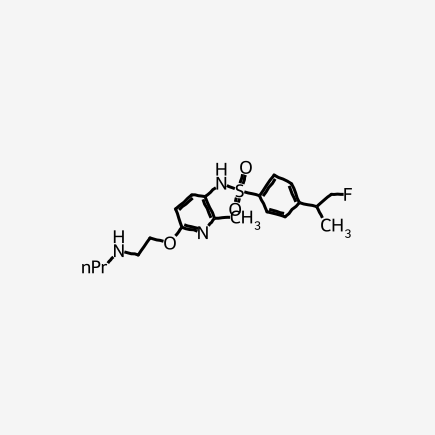 CCCNCCOc1ccc(NS(=O)(=O)c2ccc(C(C)CF)cc2)c(C)n1